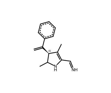 C=C(c1ccccc1)[C@H]1C(C)=C(C=N)NC1C